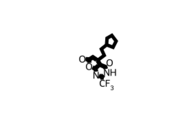 O=c1cc(CCC2CCCC2)c2c(=O)[nH]c(C(F)(F)F)nc2o1